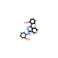 Oc1cccc(F)c1-c1nnc(NC2CCCCC2O)c2cnccc12